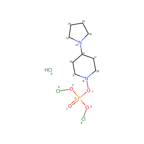 Cl.O=P(OCl)(OCl)ON1CCC(N2CCCC2)CC1